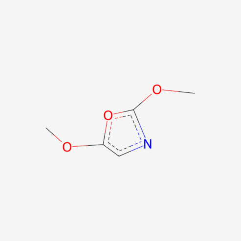 COc1cnc(OC)o1